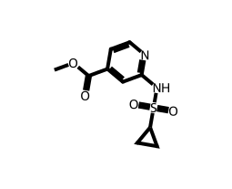 COC(=O)c1ccnc(NS(=O)(=O)C2CC2)c1